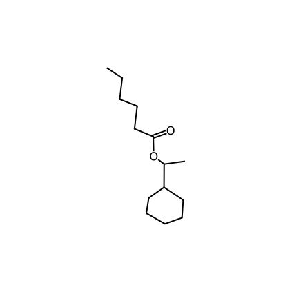 CCCCCC(=O)OC(C)C1CCCCC1